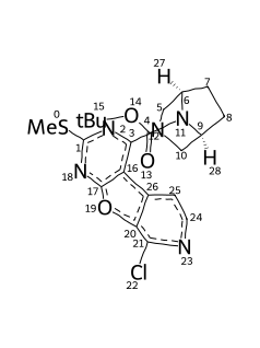 CSc1nc(N2C[C@H]3CC[C@@H](C2)N3C(=O)OC(C)(C)C)c2c(n1)oc1c(Cl)nccc12